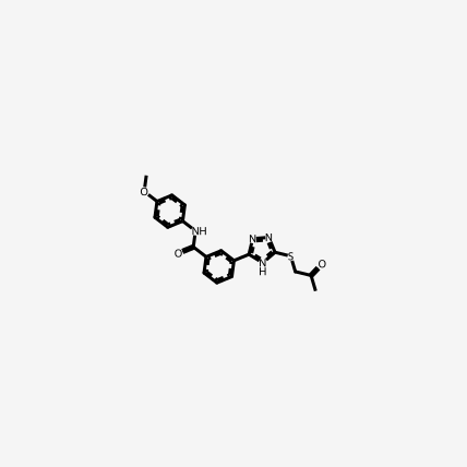 COc1ccc(NC(=O)c2cccc(-c3nnc(SCC(C)=O)[nH]3)c2)cc1